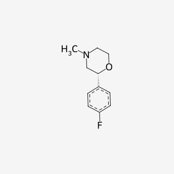 CN1CCO[C@H](c2ccc(F)cc2)C1